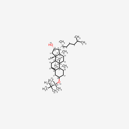 CC(C)CCC[C@@H](C)[C@H]1[C@@H](O)C[C@H]2[C@@H]3CC=C4CC(O[Si](C)(C)C(C)(C)C)CC[C@]4(C)[C@H]3CC[C@]12C